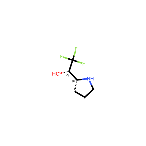 O[C@@H]([C@H]1C[CH]CN1)C(F)(F)F